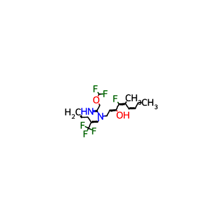 C=CC/C(=C\N(C/C=C(O)/C(F)=C(C)\C=C/CC)C(=N)COC(F)F)C(F)(F)F